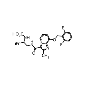 Cc1nc2c(OCc3c(F)cccc3F)cccn2c1C(=O)NCC(NC(=O)O)C(C)C